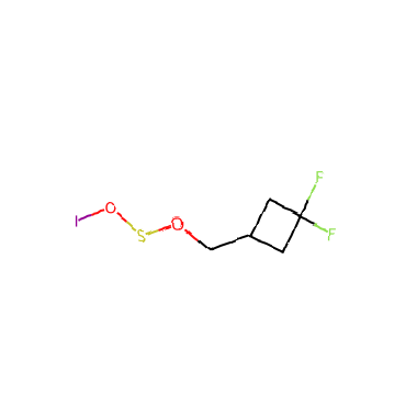 FC1(F)CC(COSOI)C1